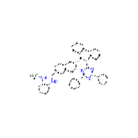 CNc1ccccc1NCc1ccc2cc(-c3c(-c4nc(-c5ccccc5)nc(-c5ccccc5)n4)c4ccccc4c4ccccc34)ccc2c1